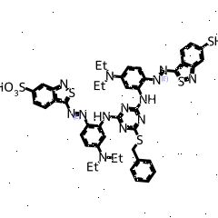 CCN(CC)c1ccc(/N=N/c2snc3cc(S)ccc23)c(Nc2nc(Nc3cc(N(CC)CC)ccc3/N=N/c3snc4cc(S(=O)(=O)O)ccc34)nc(SCc3ccccc3)n2)c1